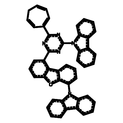 C1=CCC=CC(c2nc(-c3cccc4oc5c(-n6c7ccccc7c7ccccc76)cccc5c34)nc(-n3c4ccccc4c4ccccc43)n2)=C1